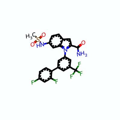 CS(=O)(=O)Nc1ccc2cc(C(N)=O)n(-c3cc(-c4ccc(F)cc4F)cc(C(F)(F)F)c3)c2c1